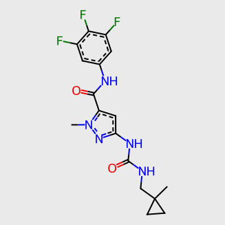 Cn1nc(NC(=O)NCC2(C)CC2)cc1C(=O)Nc1cc(F)c(F)c(F)c1